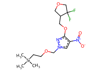 C[Si](C)(C)CCOCn1cc([N+](=O)[O-])c(OCC2COCC2(F)F)n1